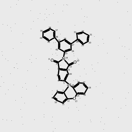 O=C1c2ccc(N3c4ccccc4Oc4ccccc43)cc2C(=O)N1c1cc(-c2ccccc2)cc(-c2ccccc2)c1